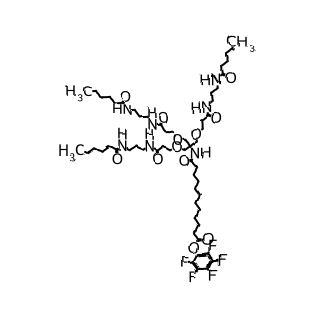 CCCCCC(=O)NCCCNC(=O)CCOCC(COCCC(=O)NCCCNC(=O)CCCCC)(COCCC(=O)NCCCNC(=O)CCCCC)NC(=O)CCCCCCCCCCC(=O)Oc1c(F)c(F)c(F)c(F)c1F